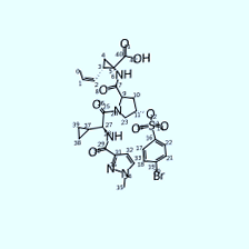 C/C=C\[C@@H]1C[C@]1(NC(=O)C1C[C@H](OS(=O)(=O)c2ccc(Br)cc2)CN1C(=O)[C@@H](NC(=O)c1ccn(C)n1)C1CC1)C(=O)O